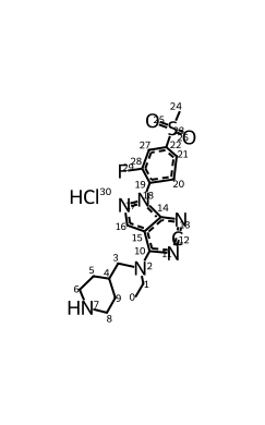 CCN(CC1CCNCC1)c1ncnc2c1cnn2-c1ccc(S(C)(=O)=O)cc1F.Cl